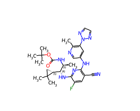 Cc1ncc(Nc2nc(N[C@@H]([C@H](C)NC(=O)OC(C)(C)C)[C@H]3CC3(C)C)c(F)cc2C#N)cc1-n1nccn1